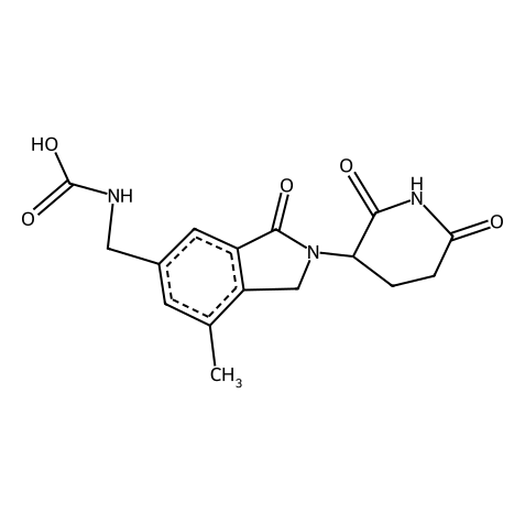 Cc1cc(CNC(=O)O)cc2c1CN(C1CCC(=O)NC1=O)C2=O